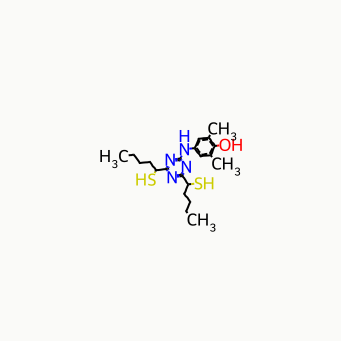 CCCCC(S)c1nc(Nc2cc(C)c(O)c(C)c2)nc(C(S)CCCC)n1